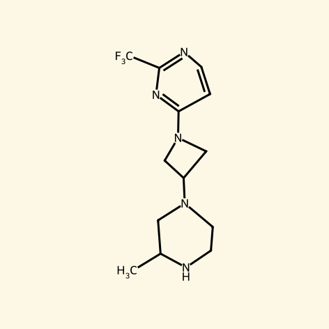 CC1CN(C2CN(c3ccnc(C(F)(F)F)n3)C2)CCN1